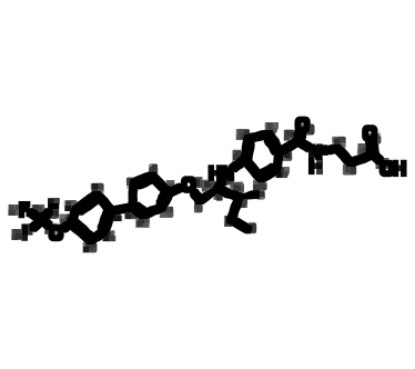 CC[C@H](C)[C@@H](COc1ccc(-c2ccc(OC(F)(F)F)cc2)cc1)Nc1ccc(C(=O)NCCC(=O)O)cc1